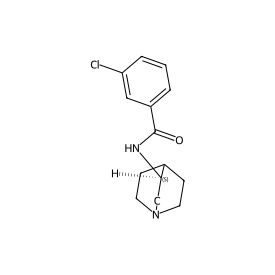 O=C(N[C@@H]1CN2CCC1CC2)c1cccc(Cl)c1